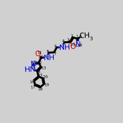 Cc1cc(CNCCCNC(=O)c2cc(-c3ccccc3)[nH]n2)on1